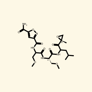 COCC(NC(=O)c1cc(C(N)=O)on1)C(=O)N[C@@H](COC)C(=O)NC(CC(C)C)C(=O)[C@@]1(C)CO1